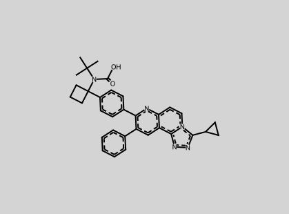 CC(C)(C)N(C(=O)O)C1(c2ccc(-c3nc4ccn5c(C6CC6)nnc5c4cc3-c3ccccc3)cc2)CCC1